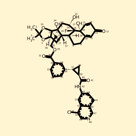 CC1(C)O[C@@H]2C[C@H]3[C@@H]4CCC5=CC(=O)C=C[C@]5(C)[C@@]4(F)[C@@H](O)C[C@]3(C)[C@]2(C(=O)COC(=O)c2cccc([C@@H]3C[C@H]3C(=O)Nc3ccc4cncc(Cl)c4c3)c2)O1